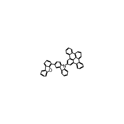 c1ccc2c(c1)oc1c(-c3ccc4c(c3)c3ccccc3n4-c3cc4c5ccccc5c5cccc6c7ccccc7c(c3)c4c56)cccc12